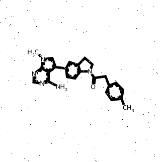 Cc1ccc(CC(=O)N2CCc3cc(-c4cn(C)c5ncnc(N)c45)ccc32)cc1